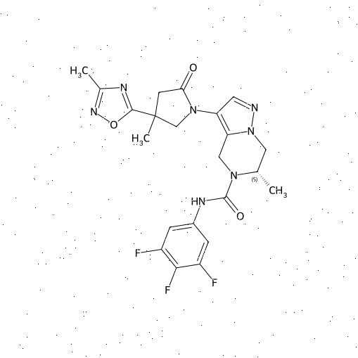 Cc1noc(C2(C)CC(=O)N(c3cnn4c3CN(C(=O)Nc3cc(F)c(F)c(F)c3)[C@@H](C)C4)C2)n1